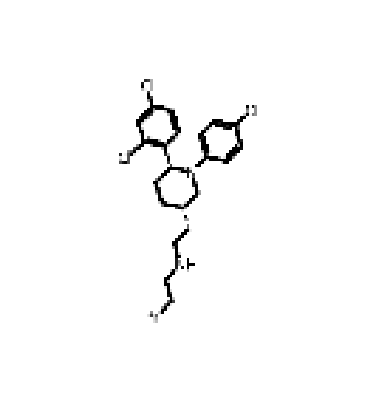 CC(C)CCNCC[C@@H]1CC[C@@H](c2ccc(Cl)cc2Cl)N(c2ccc(Cl)cc2)C1